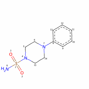 NS(=O)(=O)N1CCN(c2ccccc2)CC1